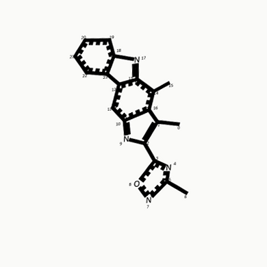 CC1=C(c2nc(C)no2)N=c2cc3c(c(C)c21)=Nc1ccccc1-3